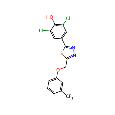 Oc1c(Cl)cc(-c2nnc(COc3cccc(C(F)(F)F)c3)s2)cc1Cl